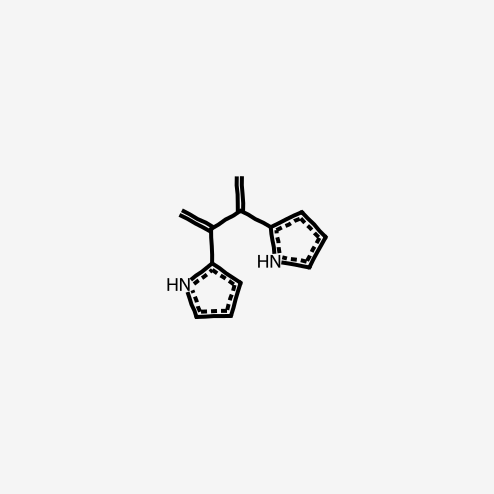 C=C(C(=C)c1ccc[nH]1)c1ccc[nH]1